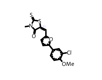 COc1ccc(-c2ccc(/C=C3/SC(=S)N(C)C3=O)o2)cc1Cl